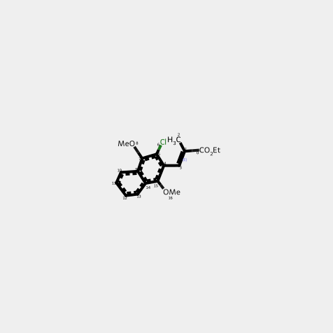 CCOC(=O)/C(C)=C/c1c(Cl)c(OC)c2ccccc2c1OC